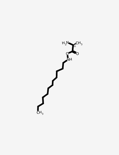 CCCCCCCCCCCCNOC(=O)[C@H](C)N